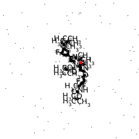 C[C@H](NC(=O)OC(C)(C)C)C(F)(F)CCOc1cc(N(C(=O)OC(C)(C)C)c2cc([C@H]3C[C@@H](F)[C@@H](O[Si](C)(C)C(C)(C)C)C3)nn2C(C)(C)C)ccn1